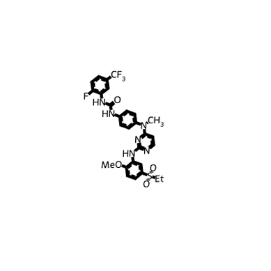 CCS(=O)(=O)c1ccc(OC)c(Nc2nccc(N(C)c3ccc(NC(=O)Nc4cc(C(F)(F)F)ccc4F)cc3)n2)c1